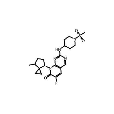 CC1CC[C@@H](n2c(=O)c(F)cc3cnc(NC4CCN(S(C)(=O)=O)CC4)nc32)C12CC2